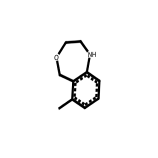 Cc1cccc2c1COCCN2